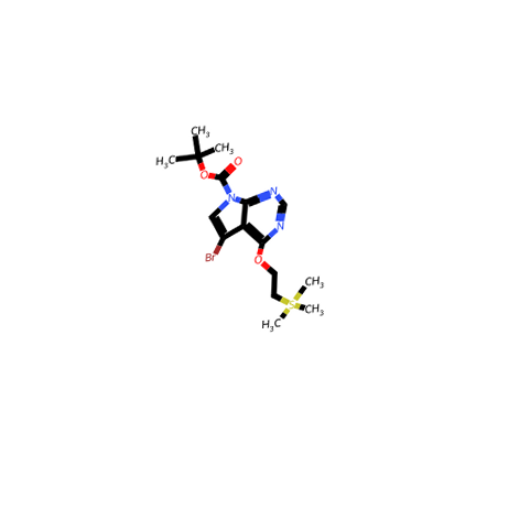 CC(C)(C)OC(=O)n1cc(Br)c2c(OCCS(C)(C)C)ncnc21